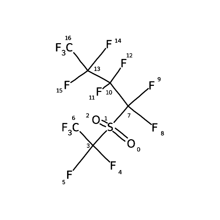 O=S(=O)(C(F)(F)C(F)(F)F)C(F)(F)C(F)(F)C(F)(F)C(F)(F)F